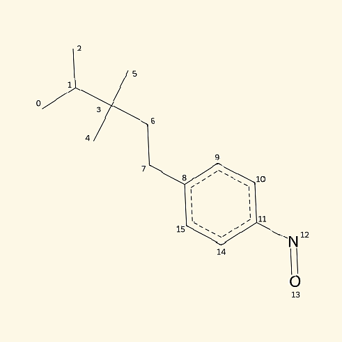 CC(C)C(C)(C)CCc1ccc(N=O)cc1